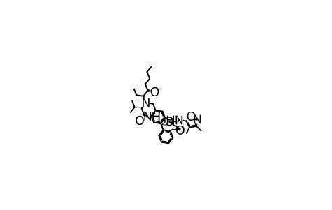 CCCCC(=O)C(CC)N(Cc1ccc(-c2ccccc2S(=O)(=O)Nc2onc(C)c2C)cc1)[C@H](C(N)=O)C(C)C